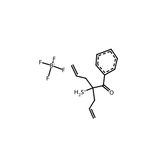 C=CCC([SH2+])(CC=C)C(=O)c1ccccc1.F[B-](F)(F)F